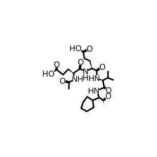 CC(=O)N[C@@H](CCC(=O)O)C(=O)N[C@@H](CCC(=O)O)C(=O)N[C@H](C(=O)NC([C]=O)C1CCCCC1)C(C)C